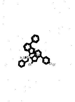 CCC1=Cc2c(-c3ccccc3)cccc2[CH]1[Zr+2](=[SiH2])([CH2]c1ccccc1)[CH]1C(CC)=Cc2c(-c3ccccc3)cccc21.[Cl-].[Cl-]